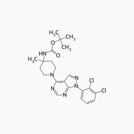 CC1(NC(=O)OC(C)(C)C)CCN(c2ncnc3c2cnn3-c2cccc(Cl)c2Cl)CC1